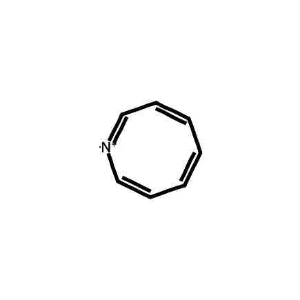 C1=C\C=C/[N+]=C\C=C/1